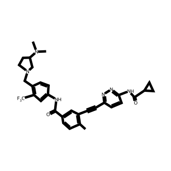 Cc1ccc(C(=O)Nc2ccc(CN3CCC(N(C)C)C3)c(C(F)(F)F)c2)cc1C#Cc1ccc(NC(=O)C2CC2)nn1